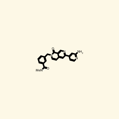 CNC(=O)c1cccc(Cn2ccc3cc(-c4ccnc(N)c4)ncc3c2=O)c1